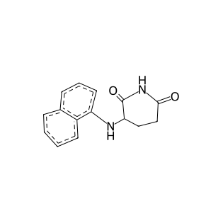 O=C1CCC(Nc2cccc3ccccc23)C(=O)N1